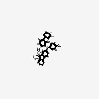 CC1(C)c2ccccc2-c2ccc(N(c3ccc(Cl)cc3)c3cccc4c3sc3ccccc34)cc21